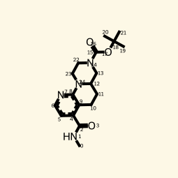 CNC(=O)c1ccnc2c1CCC1CN(C(=O)OC(C)(C)C)CCN21